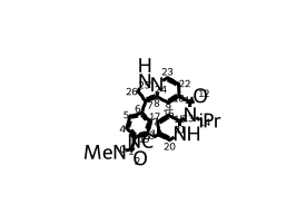 CNC(=O)c1ccc(C2=C3C=C(C(=O)N(C(C)C)C4C=CC(C#N)=CN4)C=CN3NC2)cc1